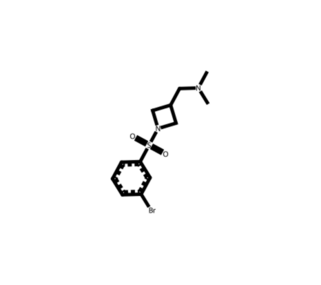 CN(C)CC1CN(S(=O)(=O)c2cccc(Br)c2)C1